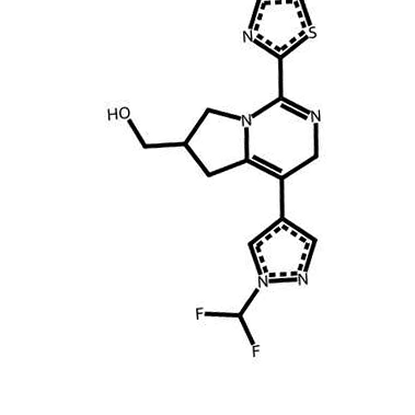 OCC1CC2=C(c3cnn(C(F)F)c3)CN=C(c3nccs3)N2C1